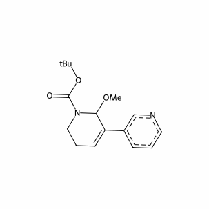 COC1C(c2cccnc2)=CCCN1C(=O)OC(C)(C)C